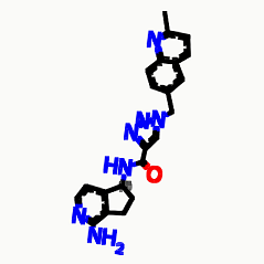 Cc1ccc2cc(Cn3cc(C(=O)N[C@H]4CCc5c4ccnc5N)nn3)ccc2n1